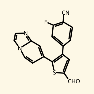 N#Cc1ccc(-c2cc(C=O)sc2-c2ccn3ccnc3c2)cc1F